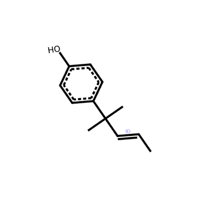 C/C=C/C(C)(C)c1ccc(O)cc1